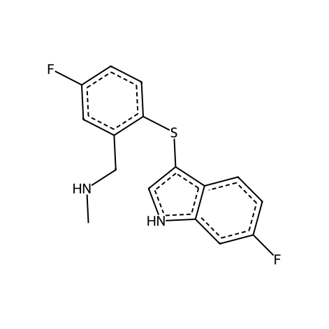 CNCc1cc(F)ccc1Sc1c[nH]c2cc(F)ccc12